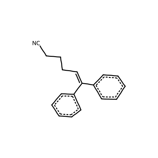 N#CCCCC=C(c1ccccc1)c1ccccc1